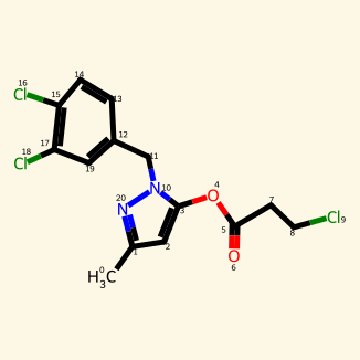 Cc1cc(OC(=O)CCCl)n(Cc2ccc(Cl)c(Cl)c2)n1